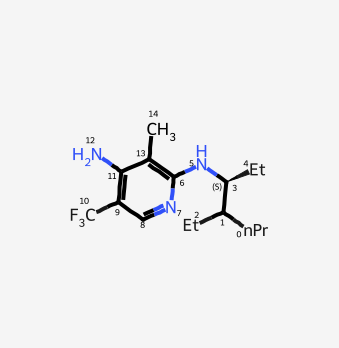 CCCC(CC)[C@H](CC)Nc1ncc(C(F)(F)F)c(N)c1C